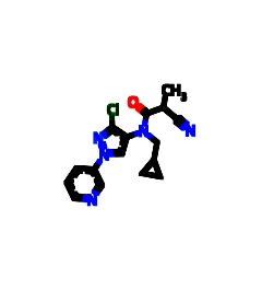 CC(C#N)C(=O)N(CC1CC1)c1cn(-c2cccnc2)nc1Cl